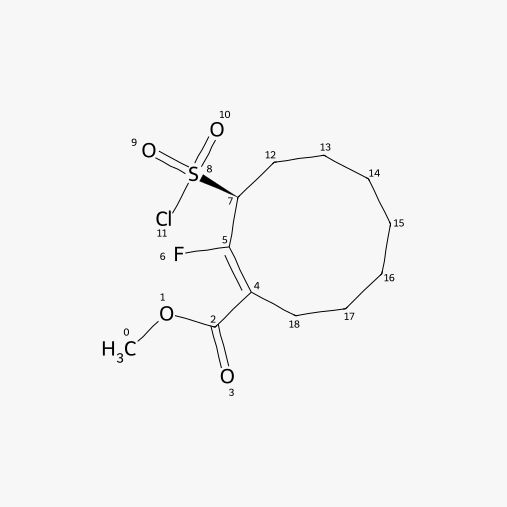 COC(=O)/C1=C(\F)[C@@H](S(=O)(=O)Cl)CCCCCCC1